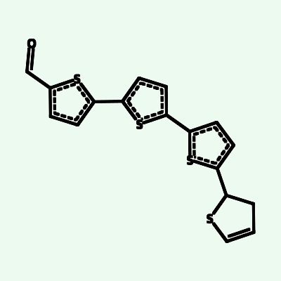 O=Cc1ccc(-c2ccc(-c3ccc(C4CC=CS4)s3)s2)s1